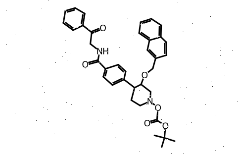 CC(C)(C)OC(=O)ON1CCC(c2ccc(C(=O)NCC(=O)c3ccccc3)cc2)C(OCc2ccc3ccccc3c2)C1